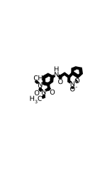 CCn1c(=O)c2cc(NC(=O)CC(C[N+](=O)[O-])c3ccccc3)ccc2n(CC)c1=O